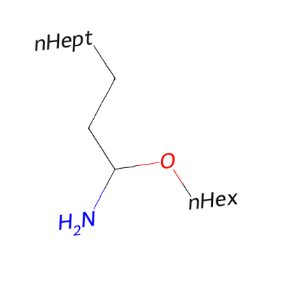 CCCCCCCCCC(N)OCCCCCC